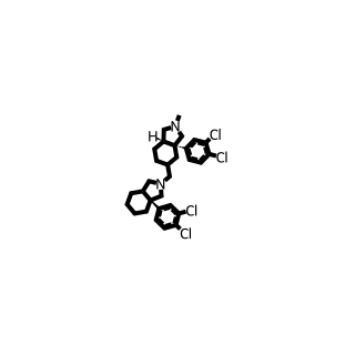 CN1C[C@@H]2CCC(CN3CC4CCCC[C@@]4(c4ccc(Cl)c(Cl)c4)C3)C[C@]2(c2ccc(Cl)c(Cl)c2)C1